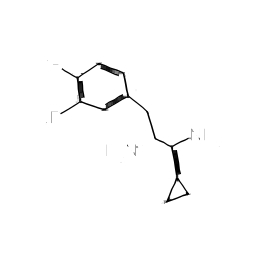 NC(=C1CC1)[C@H](N)Cc1ccc(F)c(F)c1